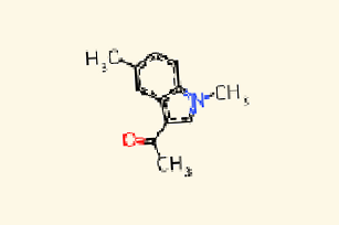 CC(=O)c1cn(C)c2ccc(C)cc12